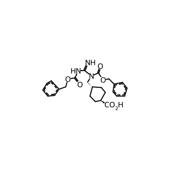 N=C(NC(=O)OCc1ccccc1)N(C[C@H]1CC[C@H](C(=O)O)CC1)C(=O)OCc1ccccc1